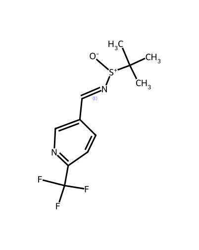 CC(C)(C)[S+]([O-])/N=C/c1ccc(C(F)(F)F)nc1